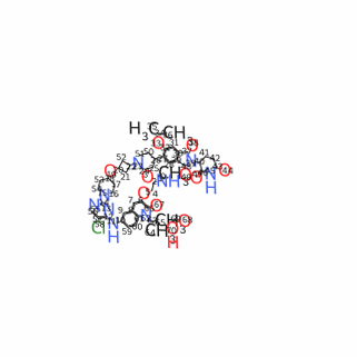 CNC(=O)COc1cc2cc(Nc3nc(N4CCC(OC5CC(N6CCC(c7cc8c(cc7OC(C)C)C(=O)N(C7CCC(=O)NC7=O)C8=O)CC6)C5)CC4)ncc3Cl)ccc2n(C(C)C)c1=O.O=CO